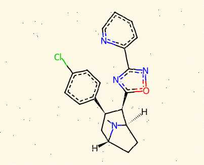 CN1[C@@H]2CC[C@@H]1[C@H](c1nc(-c3ccccn3)no1)[C@H](c1ccc(Cl)cc1)C2